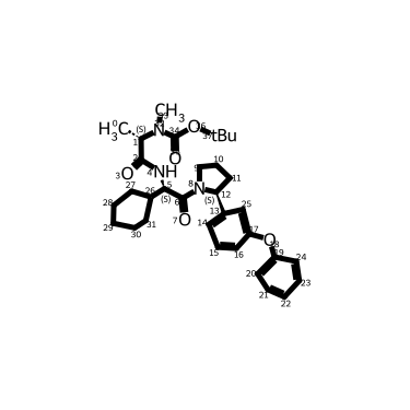 C[C@@H](C(=O)N[C@H](C(=O)N1CCC[C@H]1c1cccc(Oc2ccccc2)c1)C1CCCCC1)N(C)C(=O)OC(C)(C)C